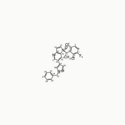 CC(c1c(Cl)ccc(F)c1Cl)[N+]1([O-])C=Cc2ncc(-c3cnn(Cc4ccccc4)c3)cc21